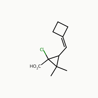 CC1(C)C(C=C2CCC2)C1(Cl)C(=O)O